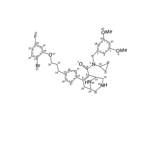 COc1cc(CN(C(=O)C2=C(c3ccc(CCCOc4cc(F)ccc4Br)cc3)CC3CNCC2N3)C2CC2)cc(OC)c1